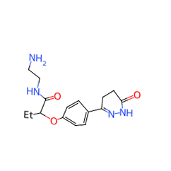 CCC(Oc1ccc(C2=NNC(=O)CC2)cc1)C(=O)NCCN